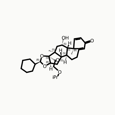 CC(C)OCC(=O)[C@@]12O[C@H](C3CCCCC3)O[C@@H]1C[C@H]1[C@@H]3CCC4=CC(=O)C=C[C@]4(C)[C@H]3[C@@H](O)C[C@@]12C